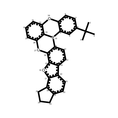 CC(C)(C)c1ccc2c(c1)B1c3ccc4c(oc5c6c(ccc54)CCC6)c3Oc3cccc(c31)O2